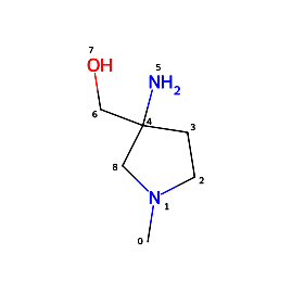 CN1CCC(N)(CO)C1